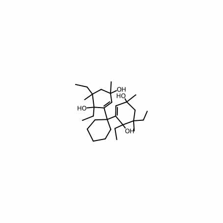 CCC1(C)CC(C)(O)C=C(C2(C3=CC(C)(O)CC(C)(CC)C3(O)CC)CCCCC2)C1(O)CC